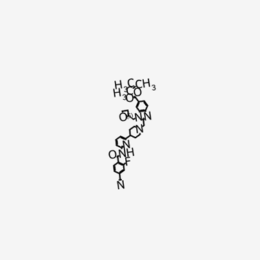 CC(C)(C)OC(=O)c1ccc2nc(CN3CCC(c4cccc(NC(=O)c5ccc(C#N)cc5F)n4)CC3)n(C[C@@H]3CCO3)c2c1